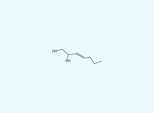 CCC/C=C/C(O)CO